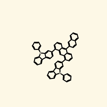 c1ccc(-n2c3ccccc3c3ccc(-c4cccc5c(-c6ccc7ccccc7c6)c6cccc(-c7ccc8c9ccccc9n(-c9ccccc9)c8c7)c6cc45)cc32)cc1